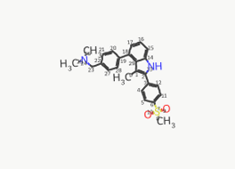 Cc1c(-c2ccc(S(C)(=O)=O)cc2)[nH]c2cccc(-c3ccc(CN(C)C)cc3)c12